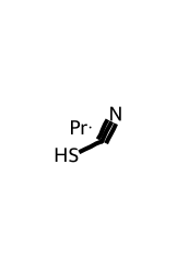 N#CS.[Pr]